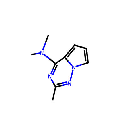 Cc1nc(N(C)C)c2cccn2n1